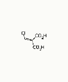 O=C(O)C(=CCl)C(=O)O